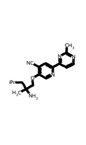 Cc1nccc(-c2cc(C#N)c(OCC(C)(N)CC(C)C)cn2)n1